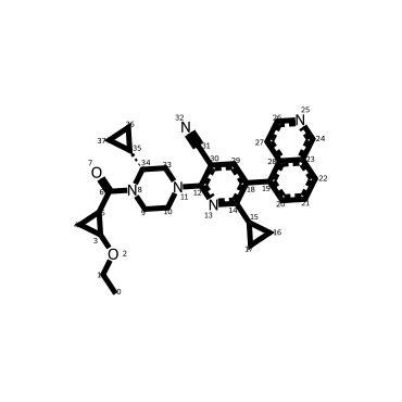 CCOC1CC1C(=O)N1CCN(c2nc(C3CC3)c(-c3cccc4cnccc34)cc2C#N)C[C@H]1C1CC1